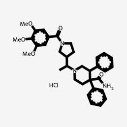 COc1cc(C(=O)N2CCC(C(C)N3CCC(C(N)=O)(c4ccccc4)C(c4ccccc4)C3)C2)cc(OC)c1OC.Cl